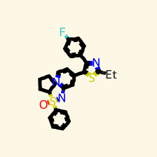 CCc1nc(-c2ccc(F)cc2)c(-c2ccnc(N=S(=O)(c3ccccc3)C3CCCC3)c2)s1